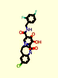 O=C(NCc1ccc(F)cc1F)c1cn2c(c(O)c1=O)C(=O)N1CCC2Cc2cc(Cl)ccc21